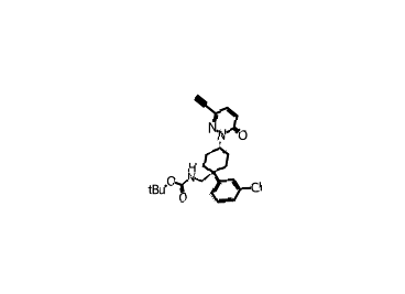 C#Cc1ccc(=O)n([C@H]2CC[C@@](CNC(=O)OC(C)(C)C)(c3cccc(Cl)c3)CC2)n1